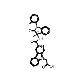 C[C@@]1(NC(=O)c2cc3c4ccccc4n(CC(=O)O)c3cn2)C(=O)N(c2ccccc2F)c2ccccc21